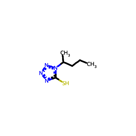 CCCC(C)n1nnnc1S